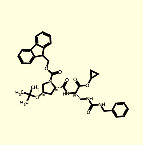 CC(C)(C)O[C@@H]1C[C@@H](C(=O)N[C@@H](CNC(=O)NCc2ccccc2)C(=O)OC2CC2)N(C(=O)OCC2c3ccccc3-c3ccccc32)C1